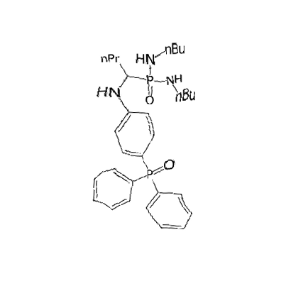 CCCCNP(=O)(NCCCC)C(CCC)Nc1ccc(P(=O)(c2ccccc2)c2ccccc2)cc1